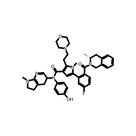 C[C@@H]1Cc2ccccc2CN1C(=O)c1ccc(F)cc1-c1cc(C(=O)N(c2ccc(O)cc2)C2C=NC3=C(CCN3C)C2)c(CCN2CCOCC2)n1C